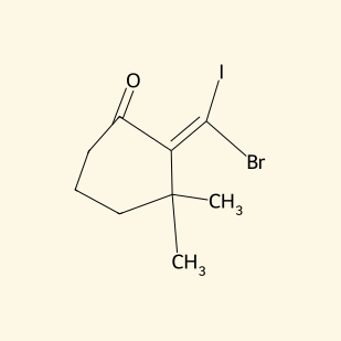 CC1(C)CCCC(=O)/C1=C(/Br)I